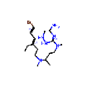 CC/C(=C\C=C\Br)CCN(C)C(C)CCN(C)/C(=N/CN)NNC